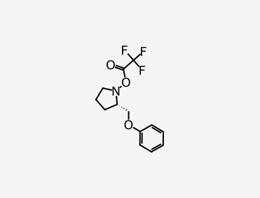 O=C(ON1CCC[C@H]1COc1ccccc1)C(F)(F)F